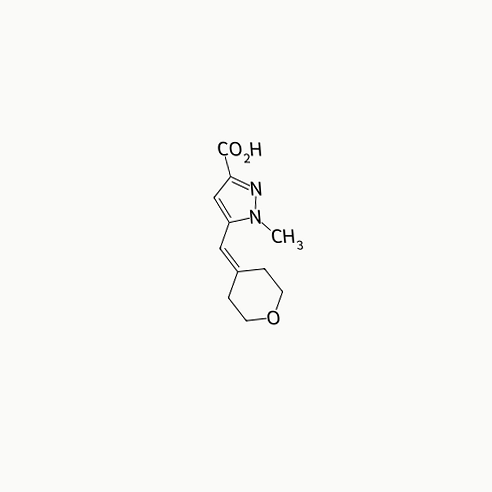 Cn1nc(C(=O)O)cc1C=C1CCOCC1